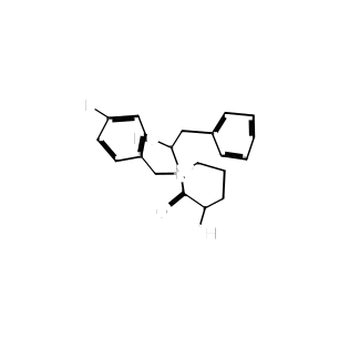 [CH2]C(Cc1ccccc1)[N+]1(Cc2ccc(F)cc2)CCCC(O)C1=O